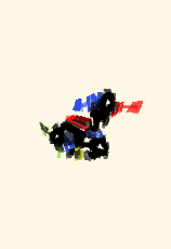 Cc1ccccc1-c1scnc1C(Cc1cc(F)cc(F)c1)NC(=O)Cc1c[nH]c2ccc(O)cc12